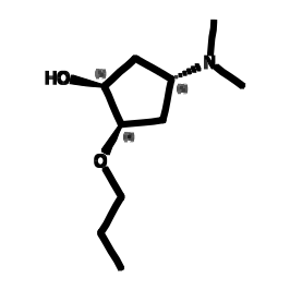 CCCO[C@@H]1C[C@@H](N(C)C)C[C@@H]1O